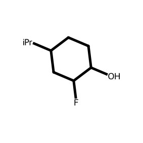 CC(C)C1CCC(O)C(F)C1